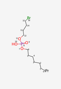 CC(C)CCCCCCOP(=O)(O)OCCCCBr